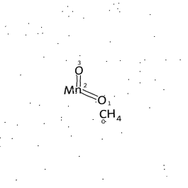 C.[O]=[Mn]=[O]